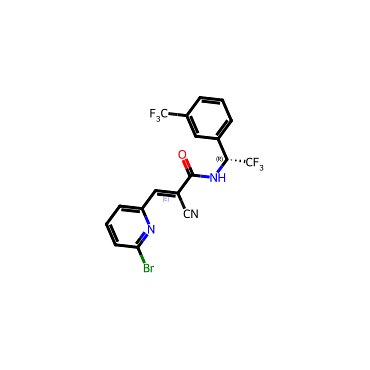 N#C/C(=C\c1cccc(Br)n1)C(=O)N[C@H](c1cccc(C(F)(F)F)c1)C(F)(F)F